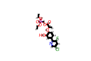 CCOP(=O)(COC(=O)C(C)Oc1ccc(-c2ncc(Cl)cc2F)cc1O)OCC